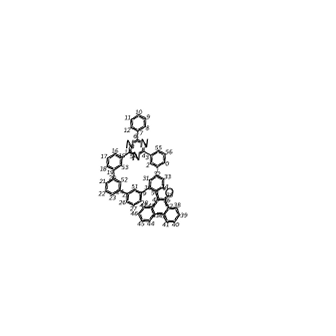 c1ccc(-c2nc(-c3ccccc3)nc(-c3cccc(-c4cccc(-c5cccc(-c6cccc7oc8c9ccccc9c9ccccc9c8c67)c5)c4)c3)n2)cc1